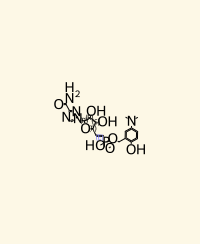 CN(C)c1ccc(O)c(COP(=O)(O)/C=C/[C@H]2O[C@@H](n3cnc(C(N)=O)n3)[C@H](O)[C@@H]2O)c1